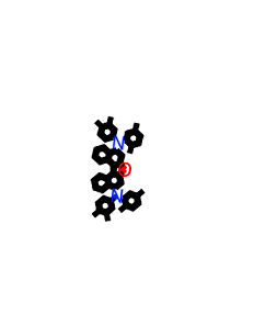 Cc1ccc(C)c(N(c2ccc(C)c(C)c2)c2cc3oc4cc(N(c5ccc(C)c(C)c5)c5cc(C)ccc5C)c5ccccc5c4c3c3ccccc23)c1